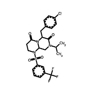 CC(C)N1CC2N(C(=O)CCN2S(=O)(=O)c2cccc(C(F)(F)F)c2)C(Cc2ccc(Cl)cc2)C1=O